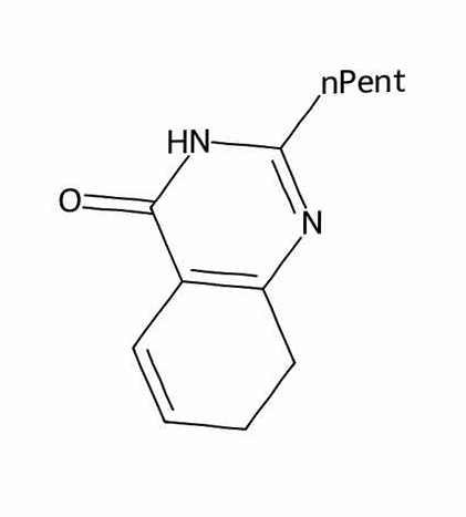 CCCCCc1nc2c(c(=O)[nH]1)C=CCC2